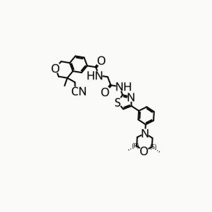 C[C@@H]1CN(c2cccc(-c3csc(NC(=O)CNC(=O)c4ccc5c(c4)C(C)(CC#N)COC5)n3)c2)C[C@H](C)O1